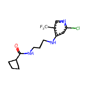 O=C(NCCCNc1cc(Cl)ncc1C(F)(F)F)C1CCC1